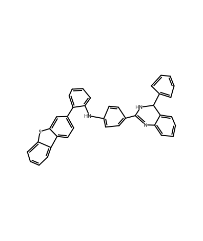 c1ccc(C2NC(c3ccc(Nc4ccccc4-c4ccc5c(c4)sc4ccccc45)cc3)=Nc3ccccc32)cc1